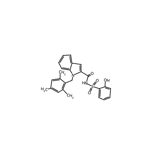 Cc1cc(C)c(Cn2c(C(=O)NS(=O)(=O)c3ccccc3O)cc3ccccc32)c(C)c1